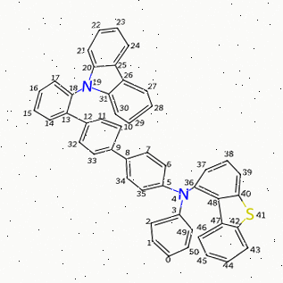 c1ccc(N(c2ccc(-c3ccc(-c4ccccc4-n4c5ccccc5c5ccccc54)cc3)cc2)c2cccc3sc4ccccc4c23)cc1